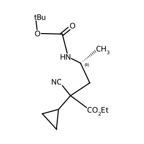 CCOC(=O)C(C#N)(C[C@@H](C)NC(=O)OC(C)(C)C)C1CC1